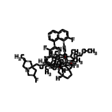 C=C1CN2C[C@H](F)CC2(COc2nc3c4c(nc(-c5cccc6ccc(F)c(C#C[Si](C(C)C)(C(C)C)C(C)C)c56)c(F)c4n2)O[C@@H](COCOC)[C@@H]2[C@@H]4CC[C@H](CN32)N4C(=O)OC(C)(C)C)C1